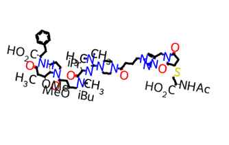 CC[C@H](C)[C@@H]([C@@H](CC(=O)N1CCC[C@H]1[C@H](OC)[C@@H](C)C(=O)N[C@@H](Cc1ccccc1)C(=O)O)OC)N(C)C(=O)[C@@H](N=C(N(C)C)N1CCN(C(=O)CCCn2cc(CN3C(=O)CC(SC[C@H](NC(C)=O)C(=O)O)C3=O)nn2)CC1)C(C)C